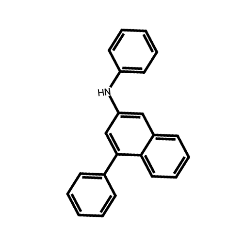 c1ccc(Nc2cc(-c3ccccc3)c3ccccc3c2)cc1